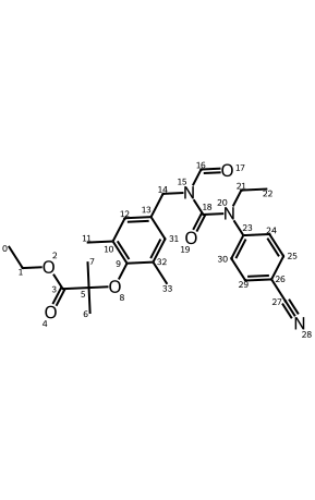 CCOC(=O)C(C)(C)Oc1c(C)cc(CN(C=O)C(=O)N(CC)c2ccc(C#N)cc2)cc1C